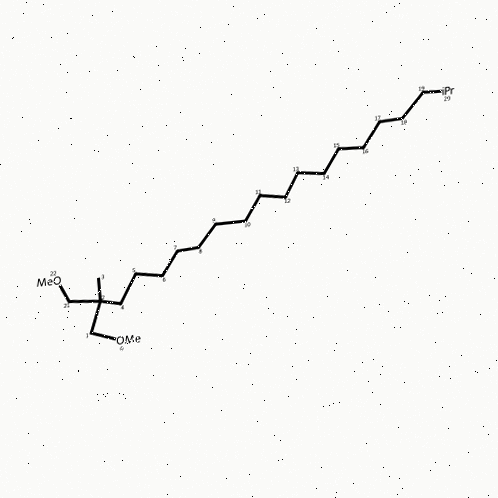 COCC(C)(CCCCCCCCCCCCCCCCC(C)C)COC